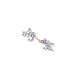 COc1cc(C(=O)N(C(C)C)C(C)C)ccc1OCCCCOc1ccc2c(NC(=O)C(C)NC(=O)C(C)N)noc2c1